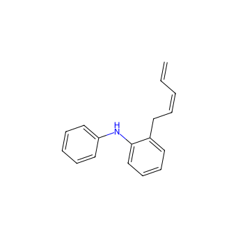 C=C/C=C\Cc1ccccc1Nc1ccccc1